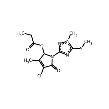 CCC(=O)OC1C(C)=C(Cl)C(=O)N1c1nc(SC)n(C)n1